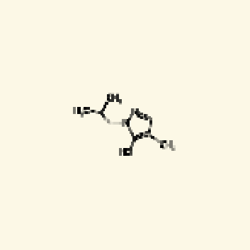 Cc1cnn(CC(C)C)c1O